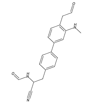 CNc1cc(-c2ccc(CC(C#N)NC=O)cc2)ccc1CC=O